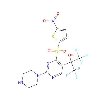 O=[N+]([O-])c1ccc(S(=O)(=O)c2nc(N3CCNCC3)ncc2C(O)(C(F)(F)F)C(F)(F)F)s1